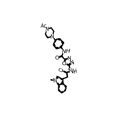 CC(=O)N1CCN(c2ccc(NC(=O)c3nnc(NC(=O)Cc4cn(C)c5ccccc45)o3)cc2)CC1